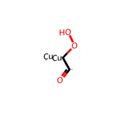 O=[C]COO.[Cu].[Cu]